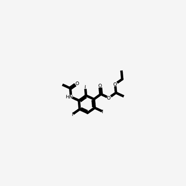 CCOC(C)OC(=O)c1c(I)cc(I)c(NC(C)=O)c1I